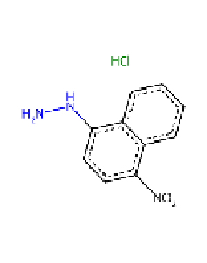 Cl.NNc1ccc([N+](=O)[O-])c2ccccc12